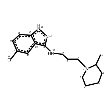 CC1CCCCN1CCCNc1n[nH]c2ccc(Cl)cc12